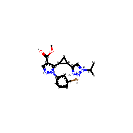 COC(=O)c1cnn(-c2cccc(Br)c2)c1C1CC1c1cn(C(C)C)nn1